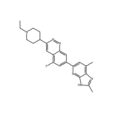 CCN1CCC(c2cc3c(F)cc(-c4cc(C)c5nc(C)[nH]c5n4)cc3nn2)CC1